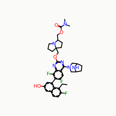 CCc1c(F)ccc2cc(O)cc(-c3c(F)cc4c(N5CC6CCC(C5)N6)nc(OCC56CCCN5C(COC(=O)N(C)C)CC6)nc4c3F)c12